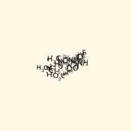 CN(C)CCCC(=O)N(C)c1ccc(NC(=C2C(=O)Nc3cc(F)ccc32)c2ccc(CCC(=O)O)cc2)cc1